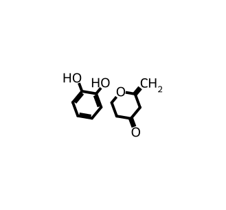 C=C1CC(=O)CCO1.Oc1ccccc1O